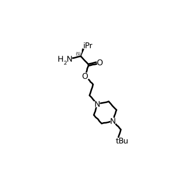 CC(C)[C@H](N)C(=O)OCCN1CCN(CC(C)(C)C)CC1